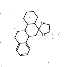 c1ccc2c(c1)CCN1C2CC2(OCCO2)C2CCCCC21